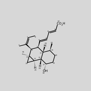 C/C=C(/C)[C@H]1[C@@H](/C=C/C=C/C(=O)O)[C@H]2[C@@H]([C@H]3C[C@]31C)[C@@H](O)CC[C@@H]2C